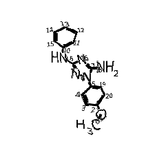 COc1ccc(-n2nc(Nc3ccccc3)nc2N)cc1